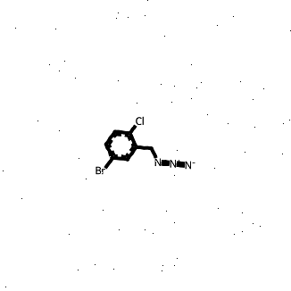 [N-]=[N+]=NCc1cc(Br)ccc1Cl